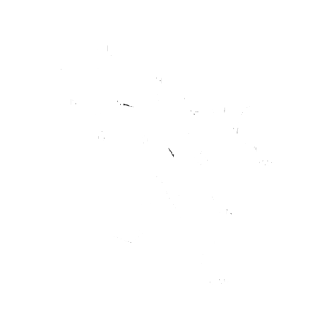 COc1ccc(C(OC[C@]23O[C@@H](n4cc(C)c(=O)[nH]c4=O)[C@@H](ON(C)C2=O)C3OP(OCCC#N)N(C(C)C)C(C)C)(c2ccccc2)c2ccc(OC)cc2)cc1